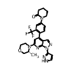 C[C@@H]1COCCN1c1cc(-c2ccc(N3CCCCC3=O)cc2C(F)(F)F)c2cnn(-c3cc[nH]n3)c2n1